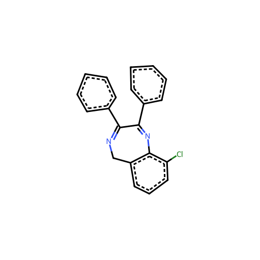 Clc1cccc2c1N=C(c1ccccc1)C(c1ccccc1)=NC2